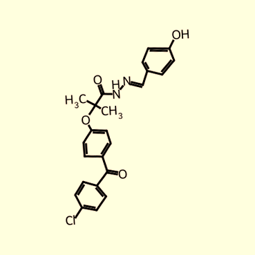 CC(C)(Oc1ccc(C(=O)c2ccc(Cl)cc2)cc1)C(=O)N/N=C/c1ccc(O)cc1